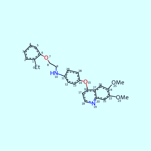 CCc1ccccc1OCCNc1ccc(Oc2ccnc3cc(OC)c(OC)cc23)cc1